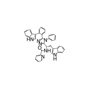 O=C(N[C@H](Cc1c[nH]c2ccccc12)c1nnc(-c2ccccc2-c2c[nH]c3ccccc23)n1-c1ccccc1)c1ccccn1